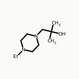 [CH2]CN1CCN(CC(C)(C)O)CC1